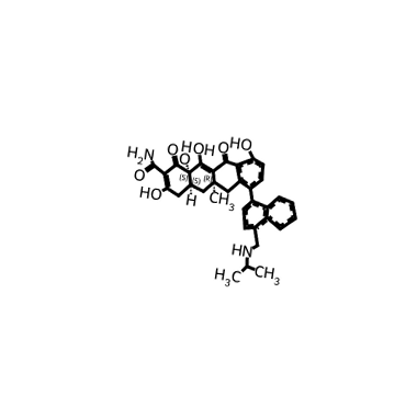 CC(C)NCc1ccc(-c2ccc(O)c3c2C[C@@]2(C)C[C@H]4CC(O)=C(C(N)=O)C(=O)[C@@]4(O)C(O)=C2C3=O)c2ccccc12